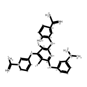 CC(=N)N1C=C(Oc2c(F)c(Oc3cccc(N(C)C)c3)nc(Oc3cc(C(=N)N)ccc3O)c2F)C=CC1